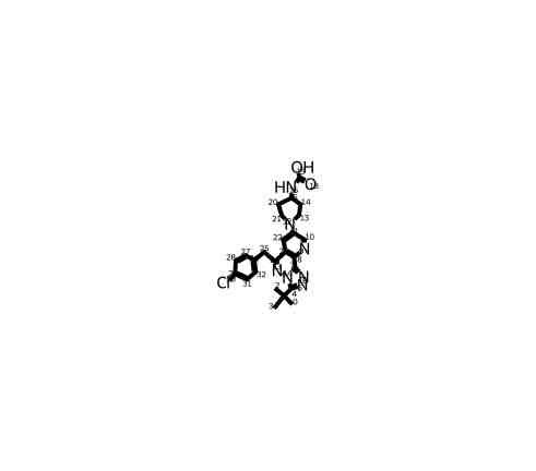 CC(C)(C)c1nnc2c3ncc(N4CCC(NC(=O)O)CC4)cc3c(Cc3ccc(Cl)cc3)nn12